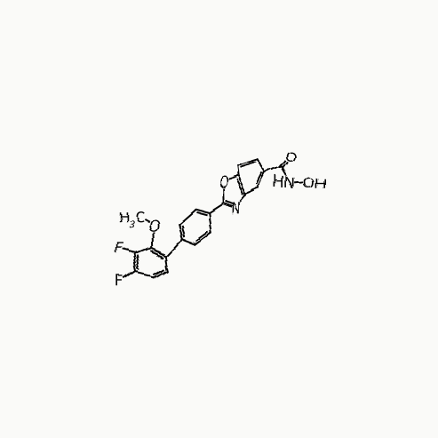 COc1c(-c2ccc(-c3nc4cc(C(=O)NO)ccc4o3)cc2)ccc(F)c1F